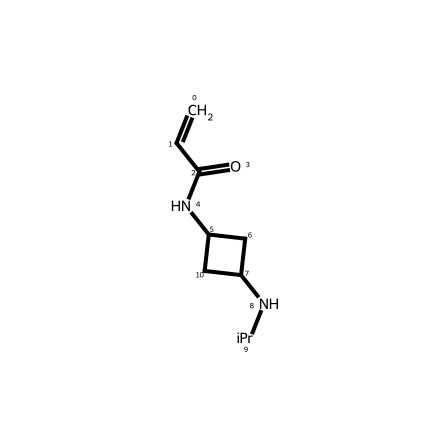 C=CC(=O)NC1CC(NC(C)C)C1